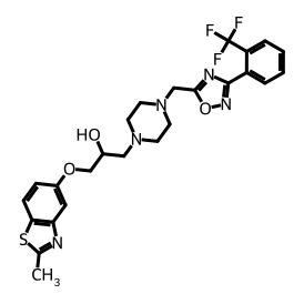 Cc1nc2cc(OCC(O)CN3CCN(Cc4nc(-c5ccccc5C(F)(F)F)no4)CC3)ccc2s1